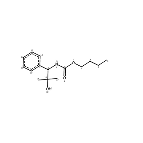 CCCCOC(=O)NC(c1ccccc1)C(C)(C)O